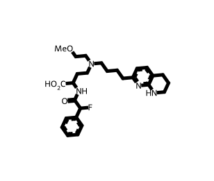 COCCN(CCCCc1ccc2c(n1)NCCC2)CCC(NC(=O)C(F)c1ccccc1)C(=O)O